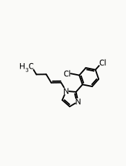 CCC/C=C/n1ccnc1-c1ccc(Cl)cc1Cl